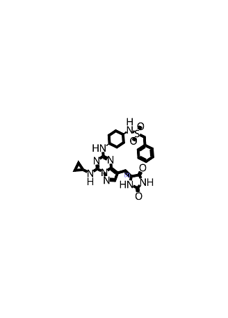 O=C1NC(=O)/C(=C/c2cnn3c(NC4CC4)nc(N[C@H]4CC[C@H](NS(=O)(=O)Cc5ccccc5)CC4)nc23)N1